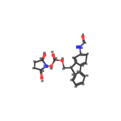 O=CNc1ccc2c(c1)C(COC(=O)ON1C(=O)CCC1=O)c1ccccc1-2